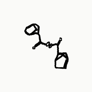 O=C(OOC(=O)C1CC2=CCC1C2)C1CC2=CCC1C2